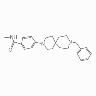 CNC(=O)c1ccc(N2CCC3(CCN(Cc4ccccc4)CC3)CC2)cc1